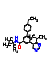 CCc1ccc(-c2cc(C(=O)NC(C)(C)C)cc(-c3cncnc3C(C)C)c2)cc1